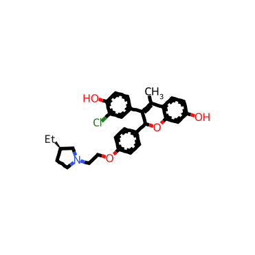 CC[C@@H]1CCN(CCOc2ccc(C3Oc4cc(O)ccc4C(C)=C3c3ccc(O)c(Cl)c3)cc2)C1